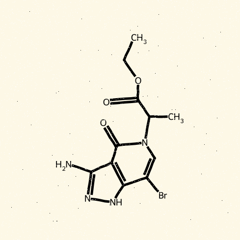 CCOC(=O)C(C)n1cc(Br)c2[nH]nc(N)c2c1=O